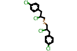 Clc1ccc(CC(Cl)CSCC(Cl)Cc2ccc(Cl)cc2)cc1